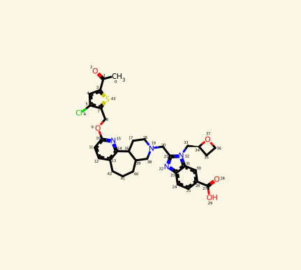 CC(=O)c1cc(Cl)c(COc2ccc3c(n2)C2CCN(Cc4nc5ccc(C(=O)O)cc5n4C[C@@H]4CCO4)CC2CCC3)s1